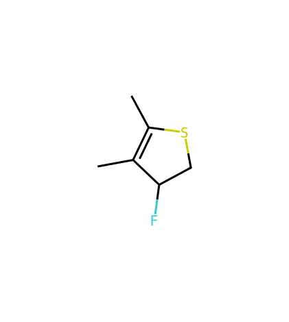 CC1=C(C)C(F)CS1